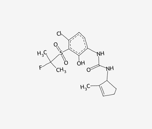 CC1=CCCC1NC(=O)Nc1ccc(Cl)c(S(=O)(=O)C(C)(C)F)c1O